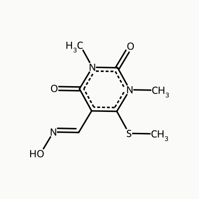 CSc1c(/C=N/O)c(=O)n(C)c(=O)n1C